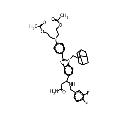 CC(=O)OCCN(CCOC(C)=O)c1ccc(-c2nc3cc(C(CC(N)=O)NCc4ccc(F)c(F)c4)ccc3n2CC23CC4CC(CC(C4)C2)C3)cc1